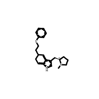 CN1CCC[C@@H]1Cc1c[nH]c2c1=CC(CCSc1ccccc1)CC=2